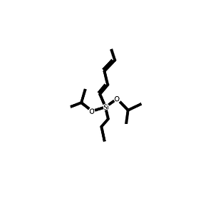 CC=CC=C[Si](CCC)(OC(C)C)OC(C)C